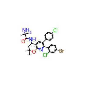 CC1(C)CC(NC(=O)C(C)(C)N)c2cc(-c3ccc(Cl)cc3)c(-c3ccc(Br)cc3Cl)nc2O1